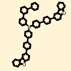 c1ccc(-c2cccc(-c3cccc(N(c4ccc(-c5ccc(-c6ccc7oc8ccccc8c7c6)cc5)cc4)c4ccc(-c5ccc(-c6ccc7oc8ccccc8c7c6)cc5)cc4)c3)c2)cc1